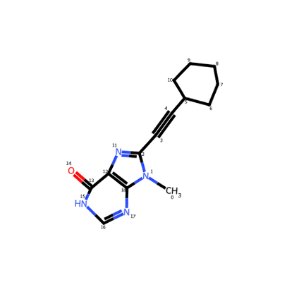 Cn1c(C#CC2CCCCC2)nc2c(=O)[nH]cnc21